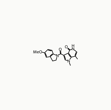 COc1ccc2c(c1)CCN2C(=O)c1cn(C)c2c(C)c[nH]c(=O)c12